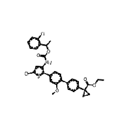 CCOC(=O)C1(c2ccc(-c3ccc(-c4sc(Cl)cc4NC(=O)OC(C)c4ccccc4Cl)cc3OC)cc2)CC1